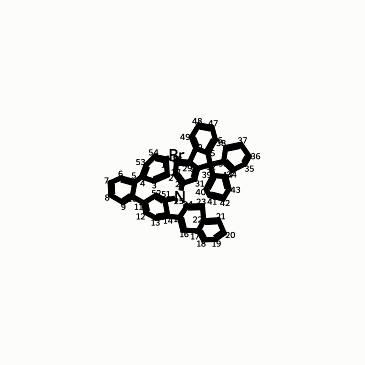 Brc1ccc(-c2ccccc2-c2ccc3c4cc5ccccc5cc4n(-c4ccc5c(c4)C(c4ccccc4)(c4ccccc4)c4ccccc4-5)c3c2)cc1